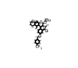 Cc1c(-c2c(C(OC(C)(C)C)C(=O)O)n(C)c(=O)c3cc(OCc4ccc(C(F)(F)F)cc4)ccc23)ccc2c1CCCO2